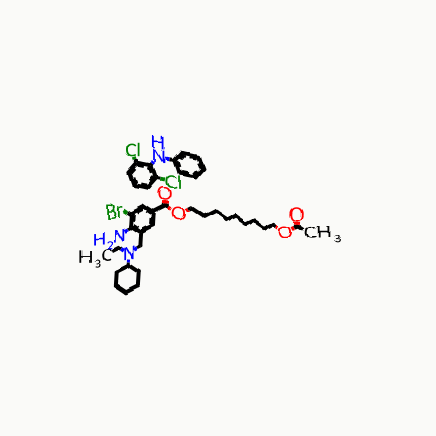 CCN(Cc1cc(C(=O)OCCCCCCCCCOC(C)=O)cc(Br)c1N)C1CCCCC1.Clc1cccc(Cl)c1Nc1ccccc1